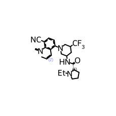 C=Nc1c(C#N)ccc(N2CC(NC(=O)[C@@H]3CCCN3CC)CC(C(F)(F)F)C2)c1/C=C\C